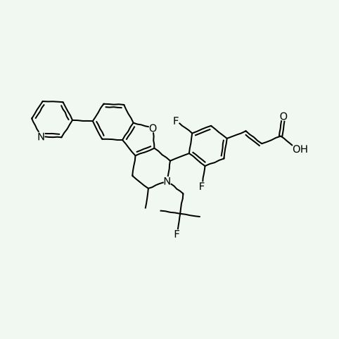 CC1Cc2c(oc3ccc(-c4cccnc4)cc23)C(c2c(F)cc(/C=C/C(=O)O)cc2F)N1CC(C)(C)F